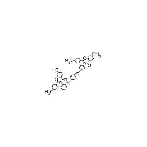 Cc1ccc(C(=O)N(C(=O)c2ccc(C)cc2)c2ccc(/C=C/c3ccc(/C=C/c4ccccc4N(C(=O)c4ccc(C)cc4)C(=O)c4ccc(C)cc4)cc3)cc2)cc1